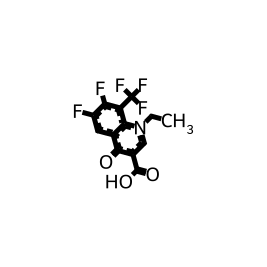 CCn1cc(C(=O)O)c(=O)c2cc(F)c(F)c(C(F)(F)F)c21